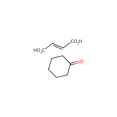 O=C(O)/C=C/C(=O)O.O=C1CCCCC1